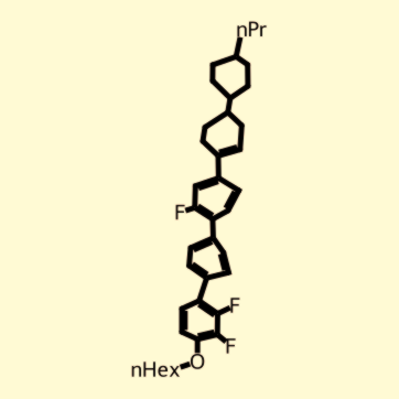 CCCCCCOc1ccc(-c2ccc(-c3ccc(C4=CCC(C5CCC(CCC)CC5)CC4)cc3F)cc2)c(F)c1F